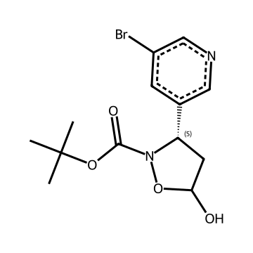 CC(C)(C)OC(=O)N1OC(O)C[C@H]1c1cncc(Br)c1